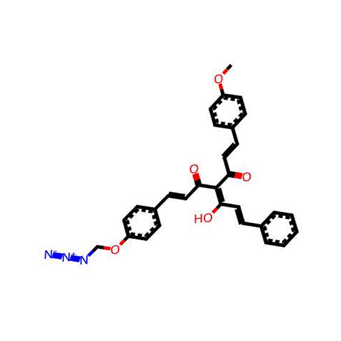 COc1ccc(/C=C/C(=O)/C(C(=O)/C=C/c2ccc(OCN=[N+]=[N-])cc2)=C(O)\C=C\c2ccccc2)cc1